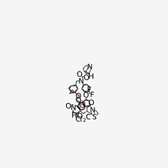 O=C(O[C@H]1CN2CCC1CC2)N(Cc1cccc(OCc2cccc(C(=O)N3CCS[C@]3(C(=O)O)[C@@H](Cc3c(Cl)c[n+]([O-])cc3Cl)c3ccc(OC(F)F)c(OCC4CC4)c3)c2)c1)c1ccccc1